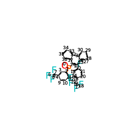 O=P(c1cc(C(F)(F)F)ccc1F)(c1cc(C(F)(F)F)ccc1F)c1cc2ccccc2c2ccccc12